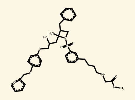 COC(=O)CNCCCCc1cccc(S(=O)(=O)N2CC(Cc3ccccc3)C2(N)CC(O)COc2ccc(OCc3ccccc3)cc2)c1